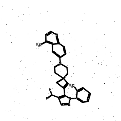 FC(F)c1cnn(-c2ccccc2C(F)(F)F)c1C1=CC2(CCN(c3ccc4nccc(C(F)(F)F)c4c3)CC2)C1